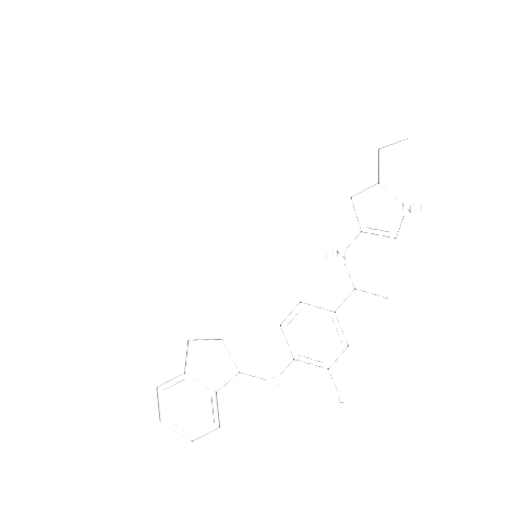 CCC1CC(NC(C)c2ccc(OC3CCc4ccccc43)c(F)c2)=CN1